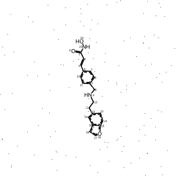 O=C(/C=C/c1ccc(CNCCc2ccc3occc3c2)cc1)NO